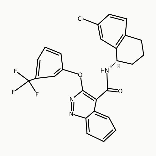 O=C(N[C@H]1CCCc2ccc(Cl)cc21)c1c(Oc2cccc(C(F)(F)F)c2)nnc2ccccc12